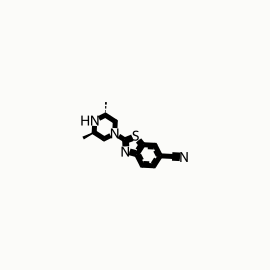 C[C@@H]1CN(c2nc3ccc(C#N)cc3s2)C[C@@H](C)N1